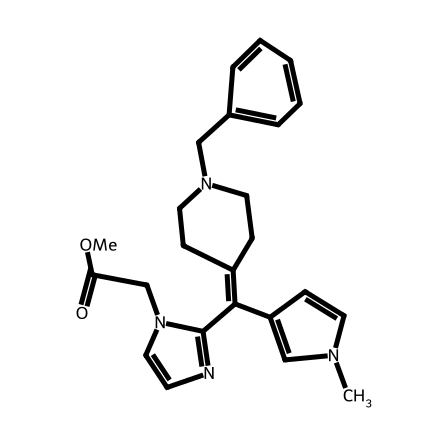 COC(=O)Cn1ccnc1C(=C1CCN(Cc2ccccc2)CC1)c1ccn(C)c1